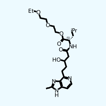 CCOCCOCCOC(=O)[C@H](CC(C)C)NC(=O)CC(O)CCc1nccc2[nH]c(C)nc12